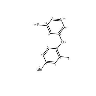 Cc1cc(C(C)(C)C)ccc1Oc1cncc(F)c1